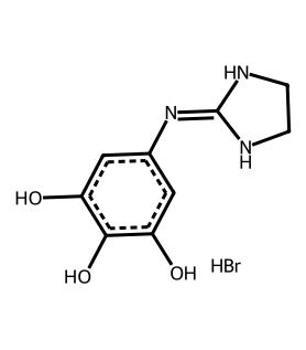 Br.Oc1cc(N=C2NCCN2)cc(O)c1O